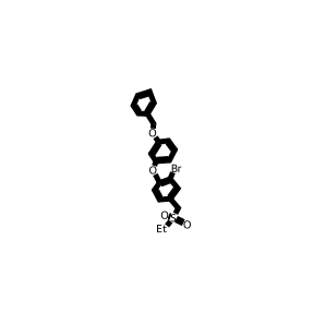 CCS(=O)(=O)Cc1ccc(Oc2cccc(OCc3ccccc3)c2)c(Br)c1